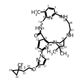 Cc1ccc2nc1SNC(=O)c1ccc(-n3ccc(OCCC4(C(F)(F)F)CC4)n3)nc1N1CC(CC1(C)C)NCCCN2